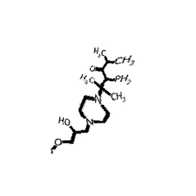 CC(C)C(=O)C(P)C(C)(C)N1CCN(CC(O)COI)CC1